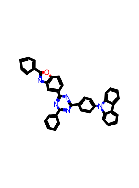 c1ccc(-c2nc(-c3ccc(-n4c5ccccc5c5ccccc54)cc3)nc(-c3ccc4oc(-c5ccccc5)nc4c3)n2)cc1